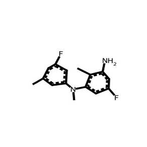 Cc1cc(F)cc(N(C)c2cc(F)cc(N)c2C)c1